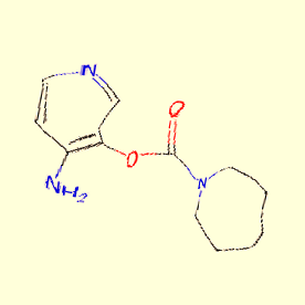 Nc1ccncc1OC(=O)N1CCCCC1